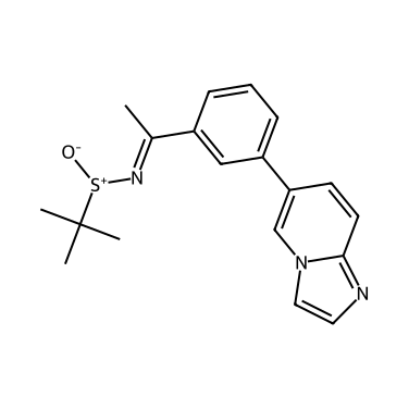 CC(=N[S+]([O-])C(C)(C)C)c1cccc(-c2ccc3nccn3c2)c1